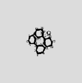 C1CCC(C2CCCCC2)CC1.C1CCC(C2CCCCC2)CC1.O